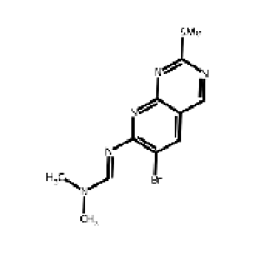 CSc1ncc2cc(Br)c(/N=C/N(C)C)nc2n1